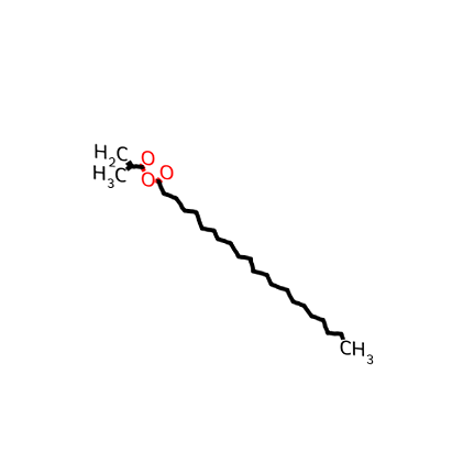 C=C(C)C(=O)OC(=O)CCCCCCCCCCCCCCCCCCCCC